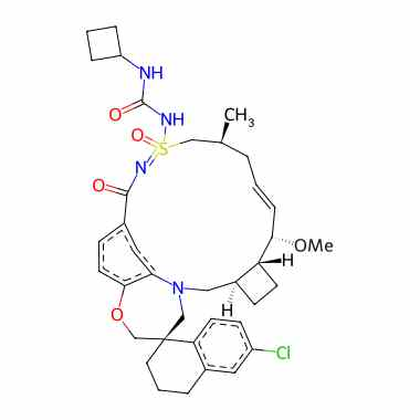 CO[C@H]1/C=C/C[C@H](C)CS(=O)(NC(=O)NC2CCC2)=NC(=O)c2ccc3c(c2)N(C[C@@H]2CC[C@H]21)C[C@@]1(CCCc2cc(Cl)ccc21)CO3